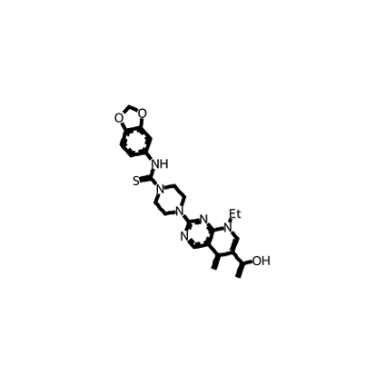 C=C(O)C1=CN(CC)c2nc(N3CCN(C(=S)Nc4ccc5c(c4)OCO5)CC3)ncc2C1=C